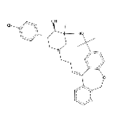 CC(C)(O)c1ccc2c(c1)/C(=C\CCN1C[C@H](c3ccc(Cl)cc3)[C@@H](O)C(C)(C)C1)c1cccnc1CO2